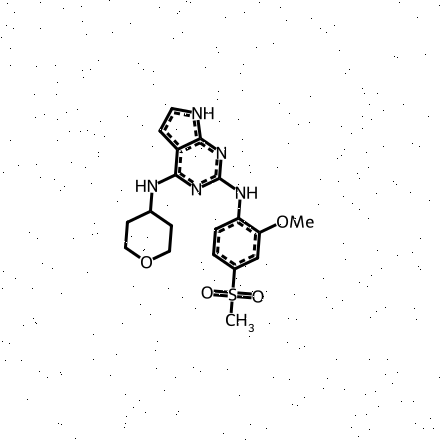 COc1cc(S(C)(=O)=O)ccc1Nc1nc(NC2CCOCC2)c2cc[nH]c2n1